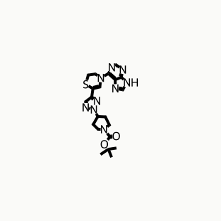 CC(C)(C)OC(=O)N1CCC(n2ncc(C3=CN(c4ncnc5[nH]cnc45)CCS3)n2)CC1